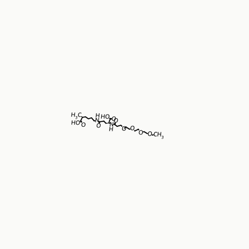 CCOCCOCCOCCOCCC(=O)N[C@@H](CCC(=O)NCCCC[C@H](C)C(=O)O)C(=O)O